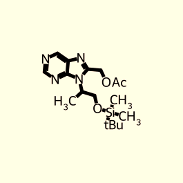 CC(=O)OCc1nc2cncnc2n1C(C)CO[Si](C)(C)C(C)(C)C